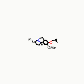 COc1cc2c(cc1OCC1CC1)CCN1C[C@@H](CC(C)C)CC[C@H]21